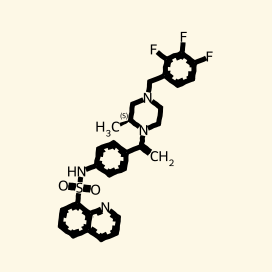 C=C(c1ccc(NS(=O)(=O)c2cccc3cccnc23)cc1)N1CCN(Cc2ccc(F)c(F)c2F)C[C@@H]1C